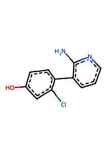 Nc1ncccc1-c1ccc(O)cc1Cl